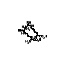 N=C(N)NCCCC(N)C(=O)O.N=C(N)NCCCCC(N)C(=O)O